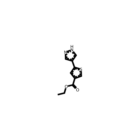 CCOC(=O)c1csc(-c2cn[nH]c2)c1